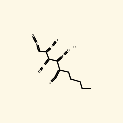 CCCCCC(=C=O)C(=C=O)C(=C=O)C(=C=O)C=C=O.[Fe]